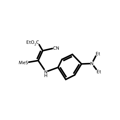 CCOC(=O)C(C#N)=C(Nc1ccc(N(CC)CC)cc1)SC